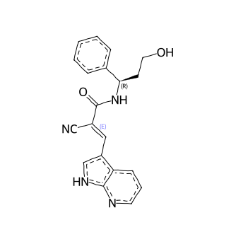 N#C/C(=C\c1c[nH]c2ncccc12)C(=O)N[C@H](CCO)c1ccccc1